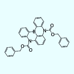 O=C(OCc1ccccc1)N1c2ccccc2B2c3ccccc3N(C(=O)OCc3ccccc3)c3cccc1c32